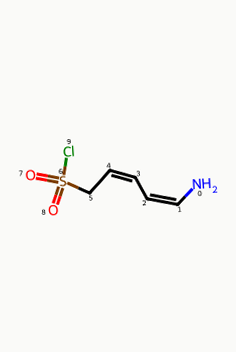 N/C=C\C=C/CS(=O)(=O)Cl